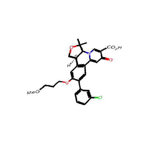 COCCCOc1cc2c(cc1-c1cccc(Cl)c1)-c1cc(=O)c(C(=O)O)cn1C1[C@@H]2COC1(C)C